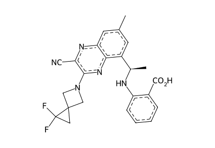 Cc1cc([C@@H](C)Nc2ccccc2C(=O)O)c2nc(N3CC4(C3)CC4(F)F)c(C#N)nc2c1